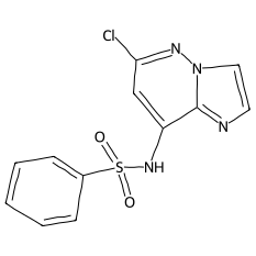 O=S(=O)(Nc1cc(Cl)nn2ccnc12)c1ccccc1